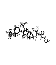 COCCC(=O)N1CCN(c2nc(C3CC3)c(-c3cccc(NS(C)(=O)=O)c3)c(C)c2N)C[C@H]1C